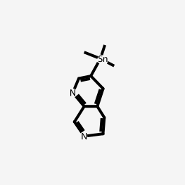 [CH3][Sn]([CH3])([CH3])[c]1cnc2cnccc2c1